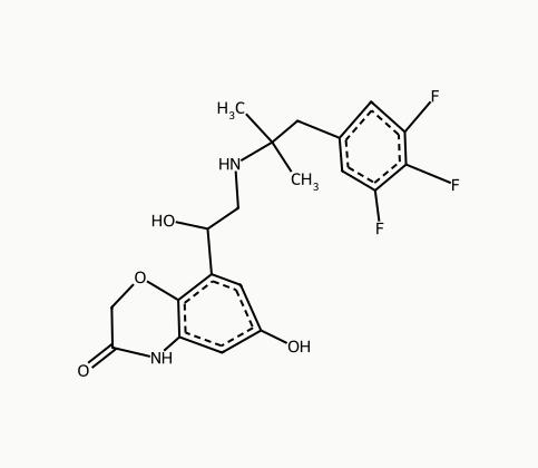 CC(C)(Cc1cc(F)c(F)c(F)c1)NCC(O)c1cc(O)cc2c1OCC(=O)N2